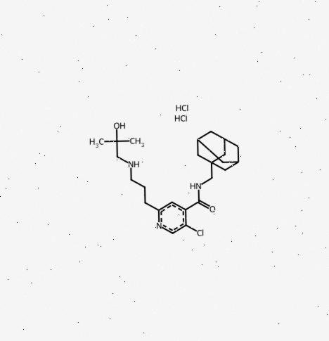 CC(C)(O)CNCCCc1cc(C(=O)NCC23CC4CC(CC(C4)C2)C3)c(Cl)cn1.Cl.Cl